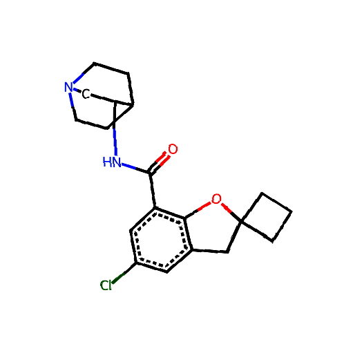 O=C(NC1CN2CCC1CC2)c1cc(Cl)cc2c1OC1(CCC1)C2